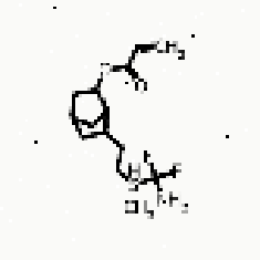 C=CC(=O)OC1CC2CC(CC[SH](C)C(N)(F)F)C1C2